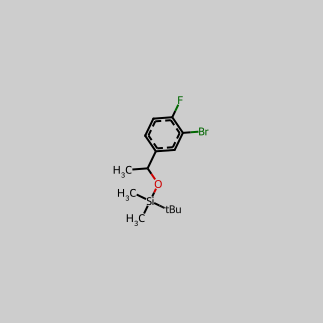 CC(O[Si](C)(C)C(C)(C)C)c1ccc(F)c(Br)c1